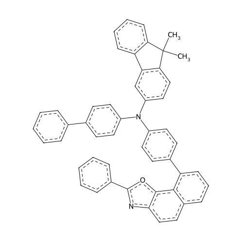 CC1(C)c2ccccc2-c2cc(N(c3ccc(-c4ccccc4)cc3)c3ccc(-c4cccc5ccc6nc(-c7ccccc7)oc6c45)cc3)ccc21